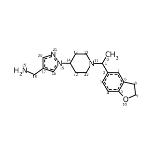 CC(c1ccc2c(c1)CCO2)N1CCC(n2cc(CN)cn2)CC1